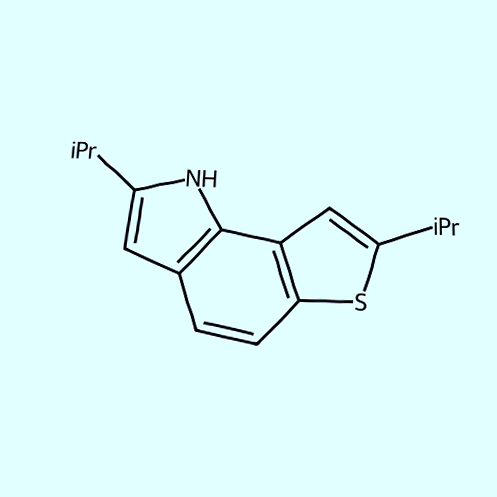 CC(C)c1cc2ccc3sc(C(C)C)cc3c2[nH]1